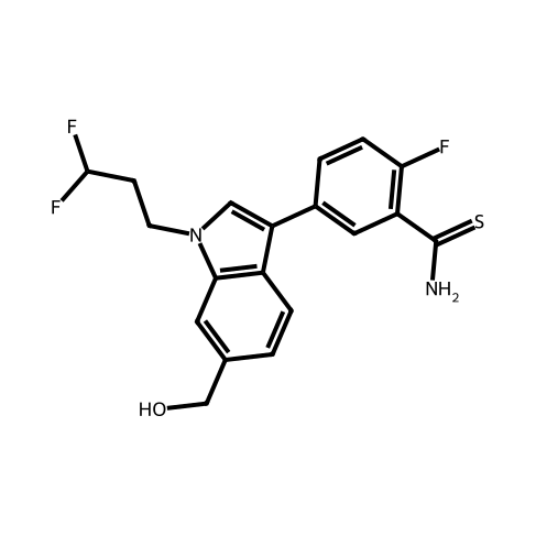 NC(=S)c1cc(-c2cn(CCC(F)F)c3cc(CO)ccc23)ccc1F